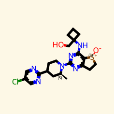 C[C@H]1CC(c2ncc(Cl)cn2)CCN1c1nc2c(c(NC3(CO)CCC3)n1)[S@+]([O-])CC2